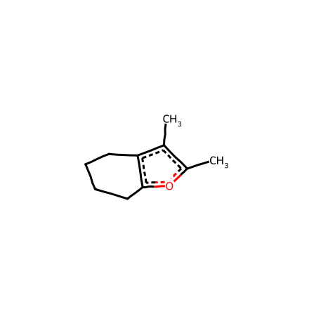 Cc1oc2c(c1C)CCCC2